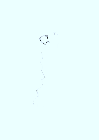 CCCCCCCCCCCCCCCCCCCCCOc1cccc(O)c1C